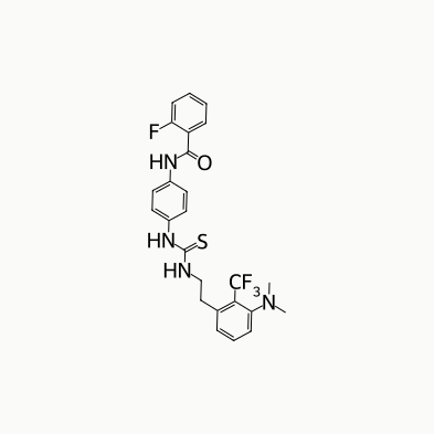 CN(C)c1cccc(CCNC(=S)Nc2ccc(NC(=O)c3ccccc3F)cc2)c1C(F)(F)F